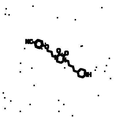 N#Cc1ccc(OCCCN2CCN(CCCCC3CCNCC3)C(=O)C2=O)cc1